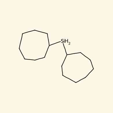 C1CCCC([SiH2]C2CCCCCCC2)CCC1